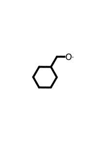 [O]CC1CCCCC1